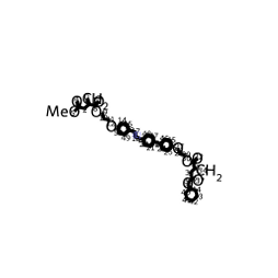 C=C(CC(=O)OC)C(=O)OCCCOc1ccc(/C=C/c2ccc(-c3ccc(OCCOC(=O)C(=C)CC(=O)OC4CCCCC4)cc3)cc2)cc1